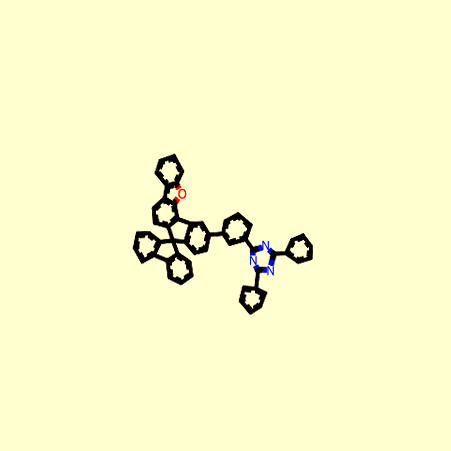 c1ccc(-c2nc(-c3ccccc3)nc(-c3cccc(-c4ccc5c(c4)-c4c(ccc6c4oc4ccccc46)C54c5ccccc5-c5ccccc54)c3)n2)cc1